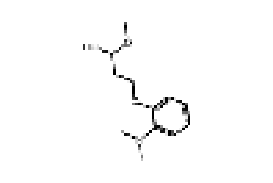 COC(O)CCOc1ccccc1N(C)C